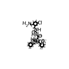 NCc1ccc(Cl)cc1CNC(=O)CNC(=O)[C@@H](CCc1cccc[n+]1[O-])NS(=O)(=O)Cc1ccccc1